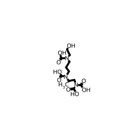 CC(CN(C(=O)O)C(=O)O)N(CCCN(CCO)C(=O)O)C(=O)O